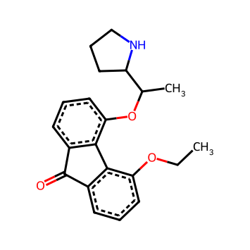 CCOc1cccc2c1-c1c(OC(C)C3CCCN3)cccc1C2=O